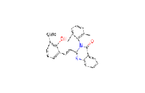 COc1cccc(C=Cc2nc3ccccc3c(=O)n2-c2c(C)cccc2C)c1O